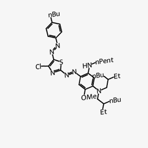 CCCCCNc1cc(N(CC(CC)CCCC)CC(CC)CCCC)c(OC)cc1/N=N/c1nc(Cl)c(N=Nc2ccc(CCCC)cc2)s1